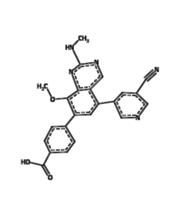 CNc1ncc2c(-c3cncc(C#N)c3)cc(-c3ccc(C(=O)O)cc3)c(OC)c2n1